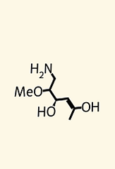 COC(CN)[C@H](O)/C=C(\C)O